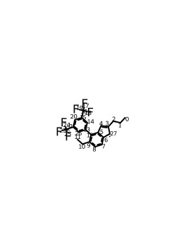 CCCC1=Cc2c(ccc(CC)c2-c2cc(C(F)(F)F)cc(C(F)(F)F)c2)[CH]1